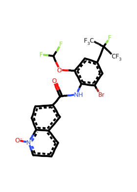 O=C(Nc1c(Br)cc(C(F)(C(F)(F)F)C(F)(F)F)cc1OC(F)F)c1ccc2c(ccc[n+]2[O-])c1